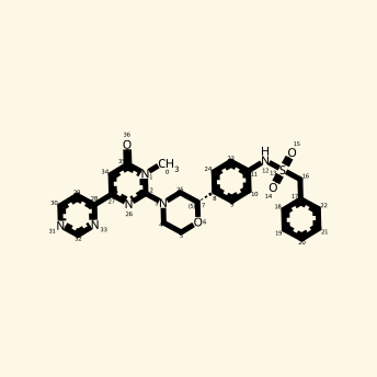 Cn1c(N2CCO[C@@H](c3ccc(NS(=O)(=O)Cc4ccccc4)cc3)C2)nc(-c2ccncn2)cc1=O